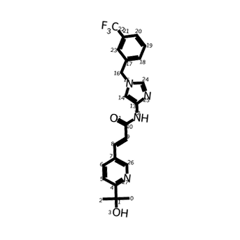 CC(C)(O)c1ccc(C=CC(=O)Nc2cn(Cc3cccc(C(F)(F)F)c3)cn2)cn1